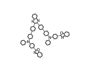 c1ccc(N(c2ccc(-c3ccc(-c4nc5ccccc5nc4-c4ccc(-c5ccc(N(c6ccccc6)c6ccc(-c7nc8ccccc8o7)cc6)cc5)cc4)cc3)cc2)c2ccc(-c3nc4ccccc4o3)cc2)cc1